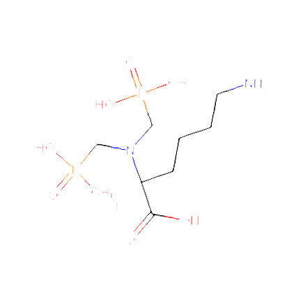 C[C@](CCCCN)(C(=O)O)N(CP(=O)(O)O)CP(=O)(O)O